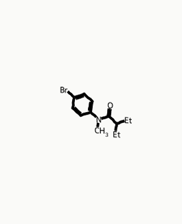 CCC(CC)C(=O)N(C)c1ccc(Br)cc1